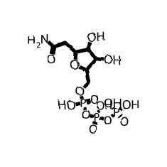 NC(=O)CC1OC(COP(=O)(O)OP(=O)(O)OP(=O)(O)O)C(O)C1O